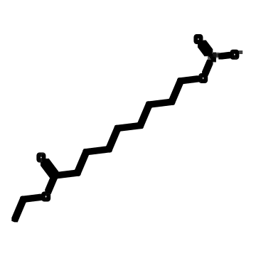 CCOC(=O)CCCCCCCCO[N+](=O)[O-]